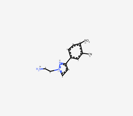 N#Cc1cc(-c2ccn(CCN)n2)ccc1[N+](=O)[O-]